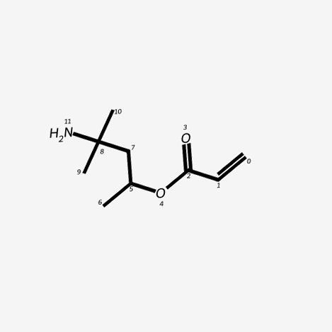 C=CC(=O)OC(C)CC(C)(C)N